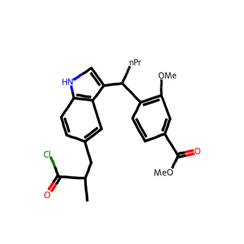 CCCC(c1ccc(C(=O)OC)cc1OC)c1c[nH]c2ccc(CC(C)C(=O)Cl)cc12